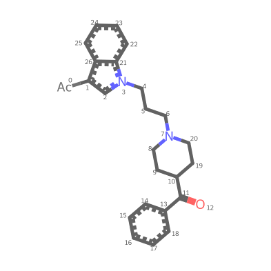 CC(=O)c1cn(CCCN2CCC(C(=O)c3ccccc3)CC2)c2ccccc12